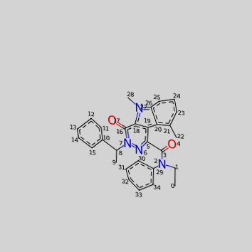 CCN(C(=O)c1nn(C(C)c2ccccc2)c(=O)c2c1c1c(C)cccc1n2C)c1ccccc1